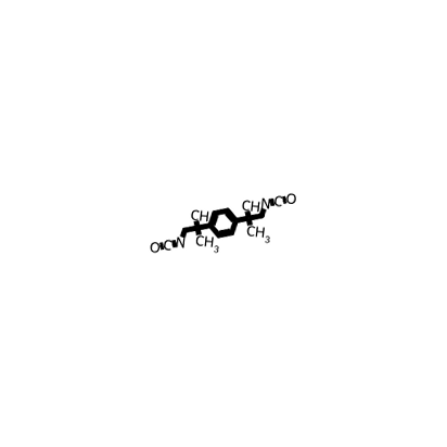 CC(C)(CN=C=O)c1ccc(C(C)(C)CN=C=O)cc1